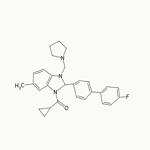 Cc1ccc2c(c1)N(C(=O)C1CC1)C(c1ccc(-c3ccc(F)cc3)cc1)N2CN1CCCC1